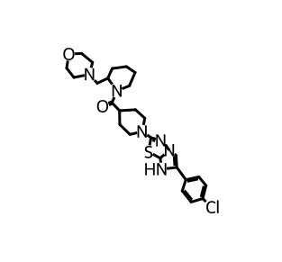 O=C(C1CCN(C2=NN3C=C(c4ccc(Cl)cc4)NC3S2)CC1)N1CCCCC1CN1CCOCC1